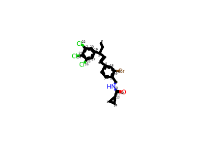 CCC(/C=C/c1ccc(CNC(=O)C2CC2)c(Br)c1)c1cc(Cl)c(Cl)c(Cl)c1